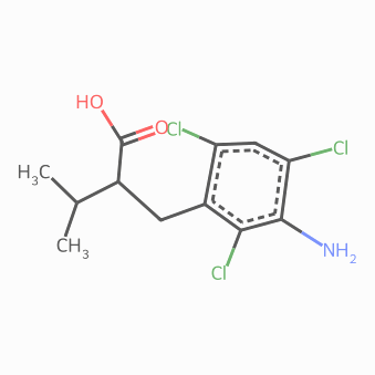 CC(C)C(Cc1c(Cl)cc(Cl)c(N)c1Cl)C(=O)O